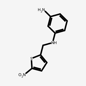 Nc1cccc(NCc2ccc([N+](=O)[O-])s2)c1